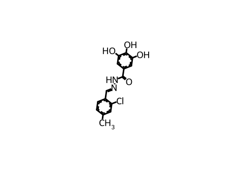 Cc1ccc(/C=N/NC(=O)c2cc(O)c(O)c(O)c2)c(Cl)c1